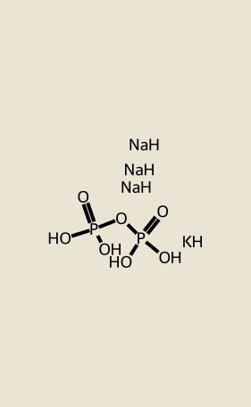 O=P(O)(O)OP(=O)(O)O.[KH].[NaH].[NaH].[NaH]